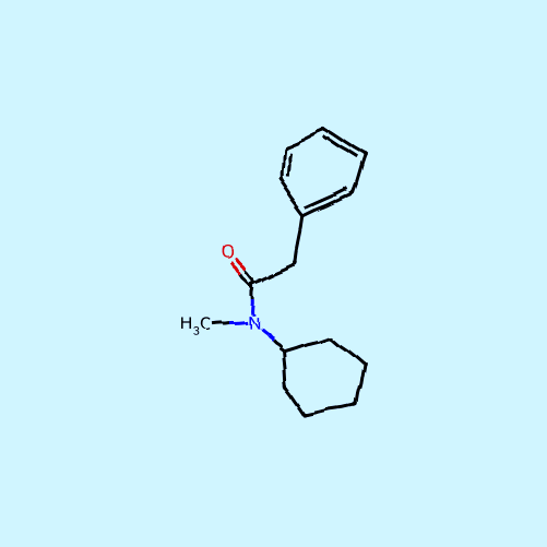 CN(C(=O)Cc1ccccc1)C1CCCCC1